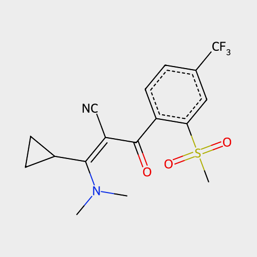 CN(C)/C(=C(/C#N)C(=O)c1ccc(C(F)(F)F)cc1S(C)(=O)=O)C1CC1